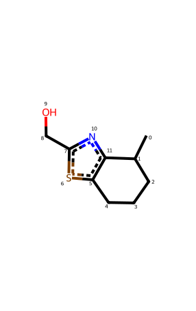 CC1CCCc2sc(CO)nc21